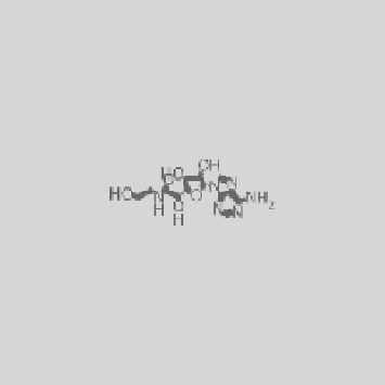 Nc1ncnc2c1ncn2[C@@H]1O[C@H](C(O)C(=O)NCCO)C(O)C1O